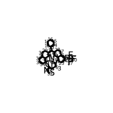 Cc1ncsc1CCC[n+]1c2c(c(-c3ccccc3)c3c1-c1ccccc1CC3)CCc1ccccc1-2.F[B-](F)(F)F